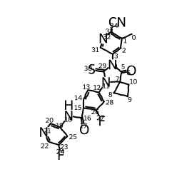 Cc1cc(N2C(=O)C3(CCC3)N(c3ccc(C(=O)Nc4cncc(F)c4)c(F)c3)C2=S)cnc1C#N